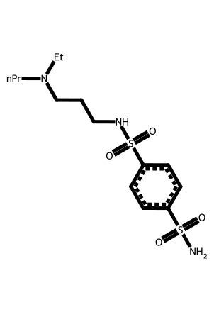 CCCN(CC)CCCNS(=O)(=O)c1ccc(S(N)(=O)=O)cc1